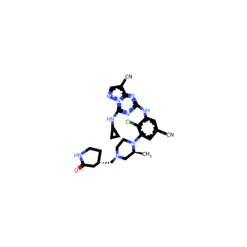 C[C@H]1CN(C[C@H]2CCNC(=O)C2)CCN1c1cc(C#N)cc(Nc2nc(NC3CC3)n3ncc(C#N)c3n2)c1Cl